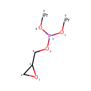 CC(C)OP(OCC1CO1)OC(C)C